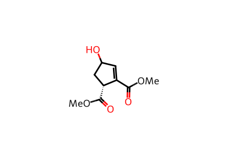 COC(=O)C1=CC(O)C[C@H]1C(=O)OC